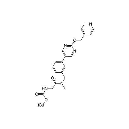 CN(Cc1cccc(-c2cnc(OCc3ccncc3)nc2)c1)C(=O)CNC(=O)OC(C)(C)C